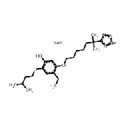 CCc1cc(OCCC(C)C)c(O)cc1OCCCCCC(C)(C)c1nn[nH]n1.[NaH]